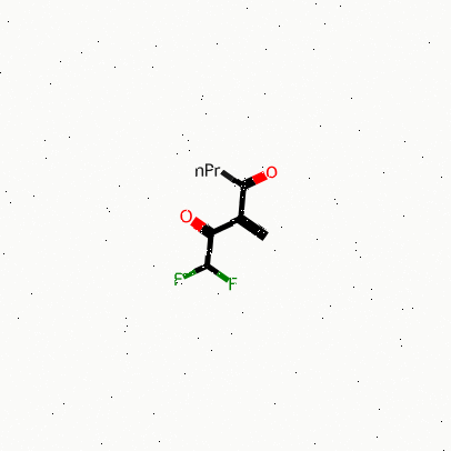 C=C(C(=O)CCC)C(=O)C(F)F